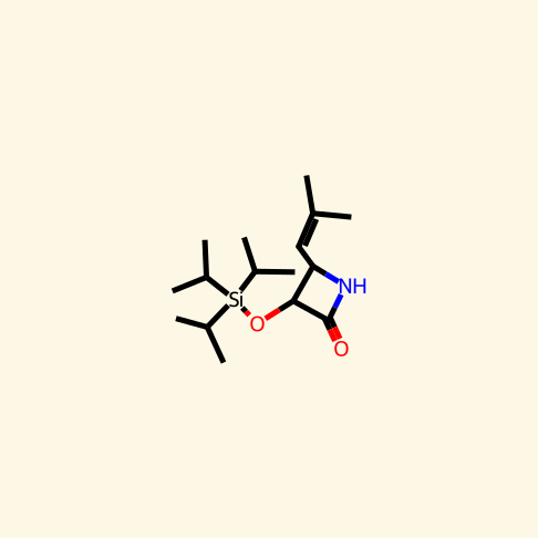 CC(C)=CC1NC(=O)C1O[Si](C(C)C)(C(C)C)C(C)C